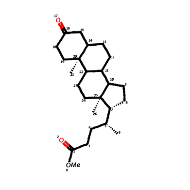 COC(=O)CC[C@@H](C)[C@H]1CCC2C3CCC4CC(=O)CC[C@]4(C)C3CC[C@@]21C